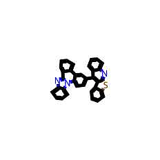 c1ccc2c(-c3ccc4c(c3)c3ccccc3c3nc5ccccc5n43)c3c(nc2c1)sc1ccccc13